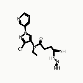 CCN(C(=O)CCC(=N)NN=N)c1cn(-c2cccnc2)nc1Cl